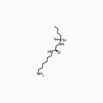 [2H]C([2H])(CCCC)NCC(=O)NCCCCCCN